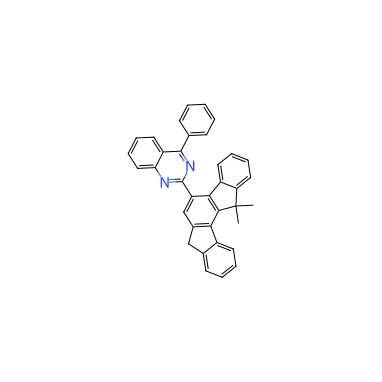 CC1(C)c2ccccc2-c2c(-c3nc(-c4ccccc4)c4ccccc4n3)cc3c(c21)-c1ccccc1C3